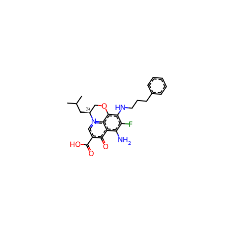 CC(C)C[C@H]1COc2c(NCCCc3ccccc3)c(F)c(N)c3c(=O)c(C(=O)O)cn1c23